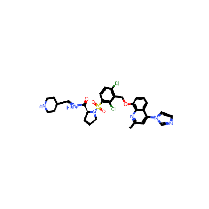 Cc1cc(-n2ccnc2)c2cccc(OCc3c(Cl)ccc(S(=O)(=O)N4CCC[C@H]4C(=O)NCC4CCNCC4)c3Cl)c2n1